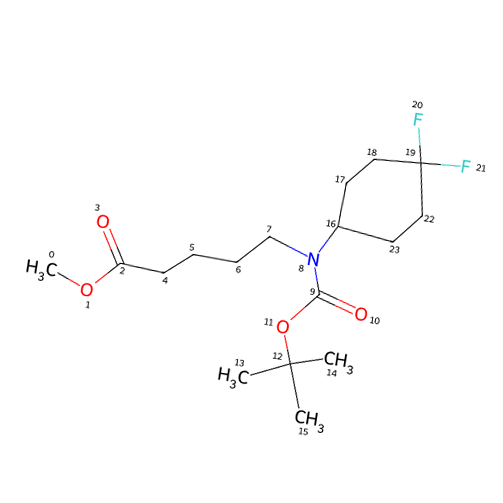 COC(=O)CCCCN(C(=O)OC(C)(C)C)C1CCC(F)(F)CC1